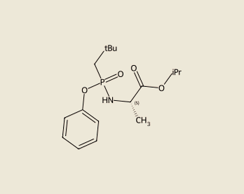 CC(C)OC(=O)[C@H](C)NP(=O)(CC(C)(C)C)Oc1ccccc1